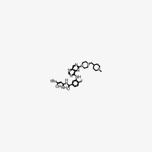 CN1CCC(CN2CCN(c3ncc4ncnc(Nc5cc(C(=O)NC(=N)/C=C(\O)C(C)(C)C)ccc5F)c4n3)CC2)CC1